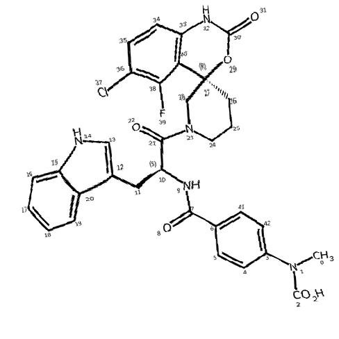 CN(C(=O)O)c1ccc(C(=O)N[C@@H](Cc2c[nH]c3ccccc23)C(=O)N2CCC[C@@]3(C2)OC(=O)Nc2ccc(Cl)c(F)c23)cc1